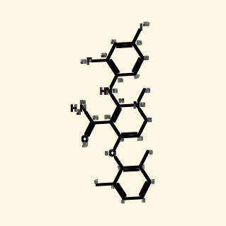 Cc1cccc(C)c1OC1=CCN(C)C(Nc2ccc(I)cc2F)=C1C(N)=O